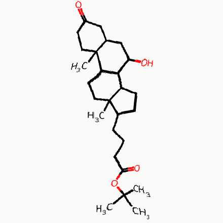 CC(C)(C)OC(=O)CCCC1CCC2C3C(O)CC4CC(=O)CCC4(C)C3CCC12C